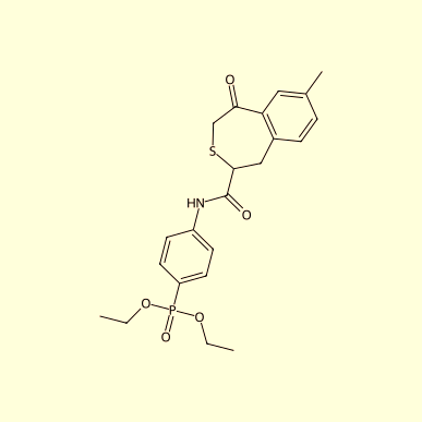 CCOP(=O)(OCC)c1ccc(NC(=O)C2Cc3ccc(C)cc3C(=O)CS2)cc1